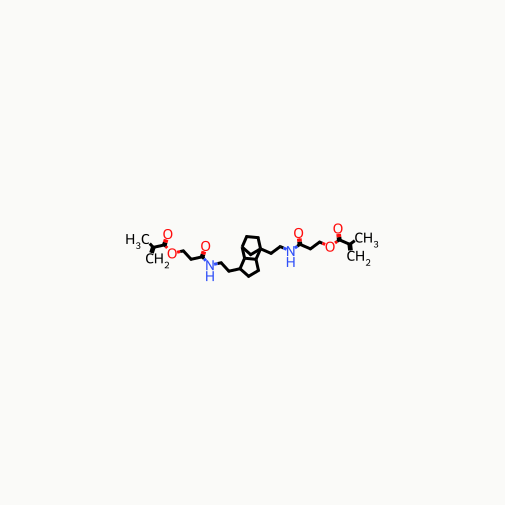 C=C(C)C(=O)OCCC(=O)NCCC1CCC2C1C1CCC2(CCNC(=O)CCOC(=O)C(=C)C)C1